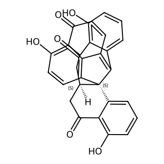 O=C1C[C@@H]2CC(=O)c3c(O)cccc3[C@]23C(=C2C=CC(=O)c4c(O)ccc3c42)c2cccc(O)c21